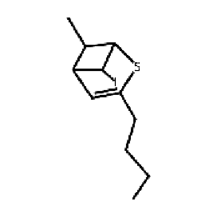 CCCCC1=CC2C(C)C(S1)C2I